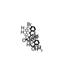 Cc1c(Br)ccc(F)c1C(C)C(NS(=O)(=O)c1ccc(Cl)c2c1OCCC2(C)O)c1n[nH]c(=O)o1